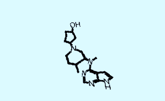 CC1CCN(C2CCC(O)C2)CC1N(C)c1ncnc2[nH]ccc12